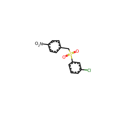 O=[N+]([O-])c1ccc(CS(=O)(=O)c2cccc(Cl)c2)cc1